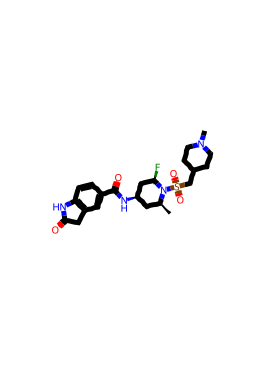 C[C@H]1C[C@@H](NC(=O)c2ccc3c(c2)CC(=O)N3)C[C@@H](F)N1S(=O)(=O)CC1CCN(C)CC1